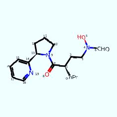 CCC[C@H](CCN(O)C=O)C(=O)N1CCC[C@@H]1c1ccccn1